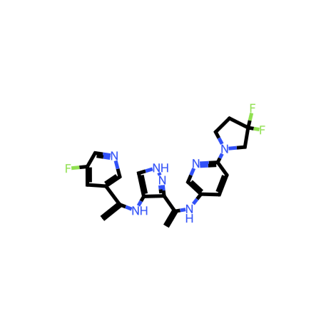 C=C(Nc1c[nH]nc1C(=C)Nc1ccc(N2CCC(F)(F)C2)nc1)c1cncc(F)c1